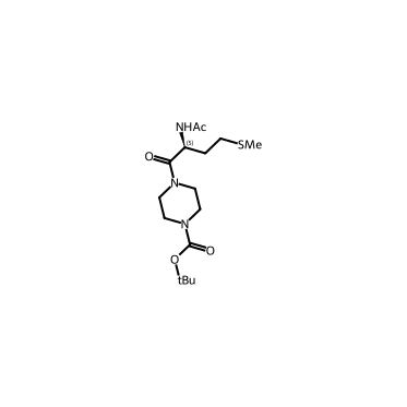 CSCC[C@H](NC(C)=O)C(=O)N1CCN(C(=O)OC(C)(C)C)CC1